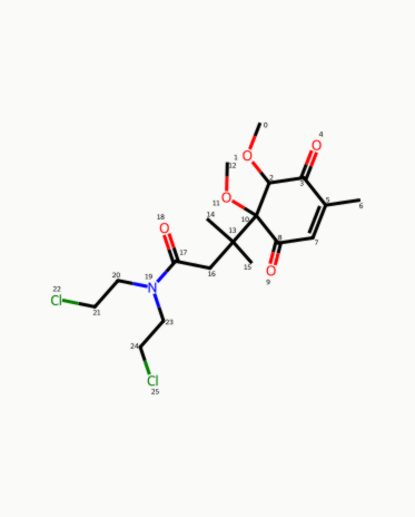 COC1C(=O)C(C)=CC(=O)C1(OC)C(C)(C)CC(=O)N(CCCl)CCCl